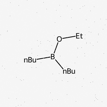 CCCCB(CCCC)OCC